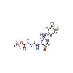 CC(C)(C)OC(=O)NCCNc1nc(Nc2ccc(F)c(Cl)c2)ncc1Br